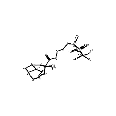 CC1(C(=O)OCCC[NH+]([O-])S(=O)(=O)C(F)(F)F)CC2CC3CC(C1)C3C2